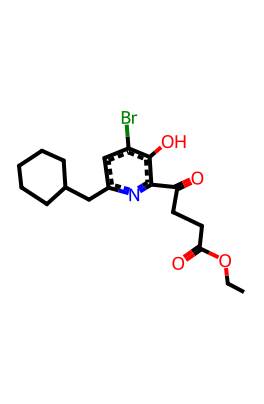 CCOC(=O)CCC(=O)c1nc(CC2CCCCC2)cc(Br)c1O